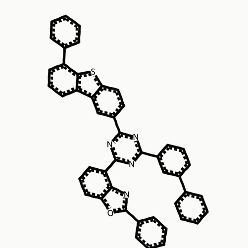 c1ccc(-c2cccc(-c3nc(-c4ccc5sc6c(-c7ccccc7)cccc6c5c4)nc(-c4cccc5oc(-c6ccccc6)nc45)n3)c2)cc1